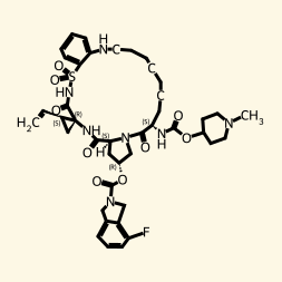 C=C[C@@H]1C[C@@]12NC(=O)[C@@H]1C[C@@H](OC(=O)N3Cc4cccc(F)c4C3)CN1C(=O)[C@@H](NC(=O)OC1CCN(C)CC1)CCCCCCCNc1ccccc1S(=O)(=O)NC2=O